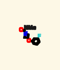 CNC(=O)N1CC(Oc2cccc(F)c2)C1